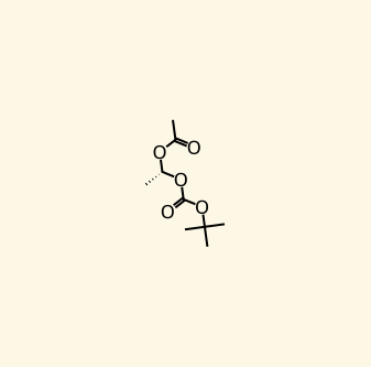 CC(=O)O[C@@H](C)OC(=O)OC(C)(C)C